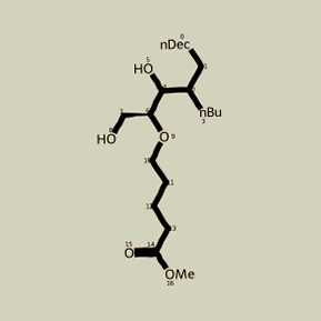 CCCCCCCCCCCC(CCCC)C(O)[C@H](CO)OCCCCC(=O)OC